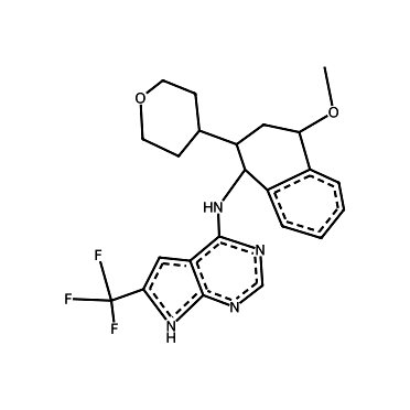 COC1CC(C2CCOCC2)C(Nc2ncnc3[nH]c(C(F)(F)F)cc23)c2ccccc21